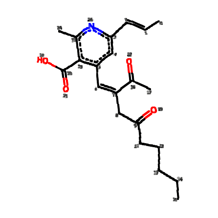 CC=Cc1cc(C=C(CC(=O)CCCCC)C(C)=O)c(C(=O)O)c(C)n1